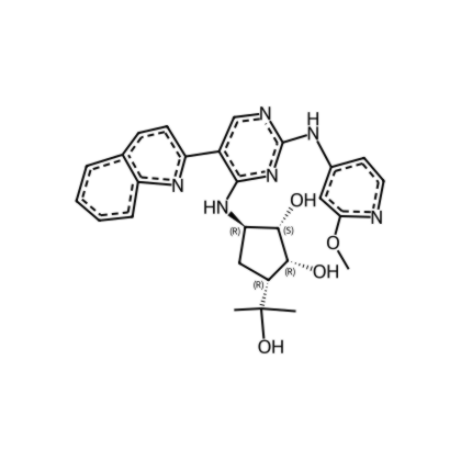 COc1cc(Nc2ncc(-c3ccc4ccccc4n3)c(N[C@@H]3C[C@@H](C(C)(C)O)[C@@H](O)[C@H]3O)n2)ccn1